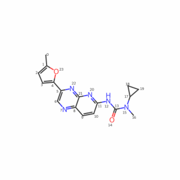 Cc1ccc(-c2cnc3ccc(NC(=O)N(C)C4CC4)nc3n2)o1